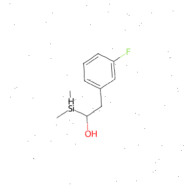 C[SiH](C)C(O)Cc1cccc(F)c1